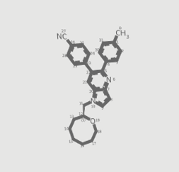 Cc1ccc(-c2nc3ccn(C[C@@H]4CCCCCCO4)c3cc2-c2ccc(C#N)cc2)cc1